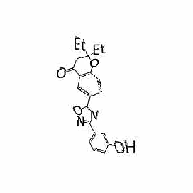 CCC1(CC)CC(=O)c2cc(-c3nc(-c4cccc(O)c4)no3)ccc2O1